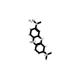 CN(N)C1=CC2SC3=C(CCC(N(C)C)C3)NC2CC1